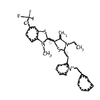 C=C1/C(=C2\Sc3cc(OC(F)(F)F)ccc3N2C)S/C(=C\c2cccc[n+]2Cc2ccccc2)N1CC